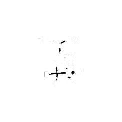 CCCC[Si](C)C.O=S(=O)(O)C(F)(F)F